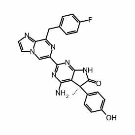 C[C@@]1(c2ccc(O)cc2)C(=O)Nc2nc(-c3cn4ccnc4c(Cc4ccc(F)cc4)n3)nc(N)c21